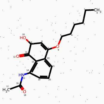 CCCCCCOC1=CC(O)C(=O)c2c(NC(C)=O)cccc21